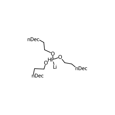 [Li][PH](OCCCCCCCCCCCC)(OCCCCCCCCCCCC)OCCCCCCCCCCCC